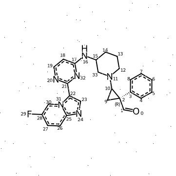 O=C[C@@]1(c2ccccc2)CC1N1CCCC(Nc2ccnc(-c3cnc4ccc(F)cn34)n2)C1